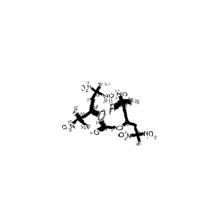 O=C(OC(CC(F)([N+](=O)[O-])[N+](=O)[O-])C(F)(F)[N+](=O)[O-])OC(CC(F)([N+](=O)[O-])[N+](=O)[O-])C(F)(F)[N+](=O)[O-]